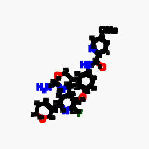 COc1ccc(C(=O)Nc2ccc3c(c2)[C@@]2(CCOC(N)=N2)c2cc(C4=CCCOC4)nc(F)c2O3)nc1